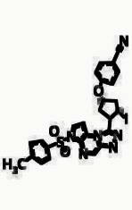 Cc1ccc(S(=O)(=O)n2ccc3c2ncc2nnc(C4C[C@H](Oc5ccc(C#N)cc5)C[C@H]4I)n23)cc1